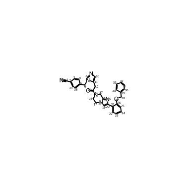 N#Cc1ccc(Cn2cncc2CC(=O)N2CCn3cc(-c4ccccc4OCc4ccccc4)nc3C2)cc1